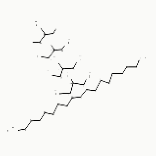 CCCCCCCCCCCCCCCCCCCCCCCCCCCC(=O)O.OCC(O)CO.OCC(O)CO.OCC(O)CO.OCC(O)CO